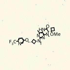 COC1([C@H]2C(=O)Nc3c(C)nc(N(I)[C@H]4C[C@@H](COc5ccc(C(F)(F)F)nc5)C4)nc3N2C)CCC1